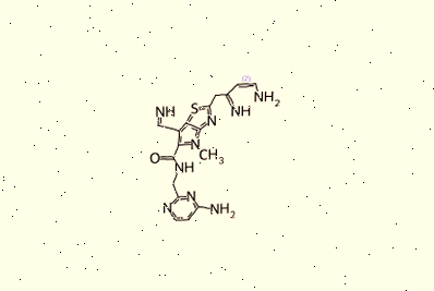 Cn1c(C(=O)NCc2nccc(N)n2)c(C=N)c2sc(CC(=N)/C=C\N)nc21